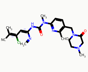 C=N/C(=C\C(Cl)=C(/C)C#N)NC(=O)N(C)c1ccc(CN2CCN(C)CC2=O)c(C=O)n1